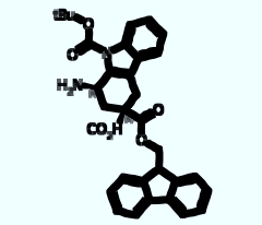 CC(C)(C)OC(=O)n1c2c(c3ccccc31)C[C@](C(=O)O)(C(=O)OCC1c3ccccc3-c3ccccc31)C[C@H]2N